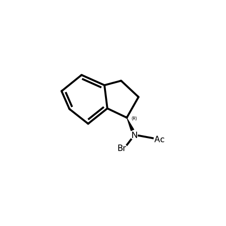 CC(=O)N(Br)[C@@H]1CCc2ccccc21